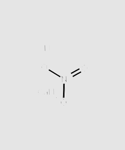 O=[N+]([O-])[O-].[CaH2].[H+]